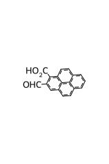 O=Cc1cc2ccc3cccc4ccc(c1C(=O)O)c2c34